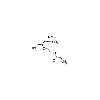 C=CC(=O)OCCOC(CC(C)C)CC(C)(C)NC